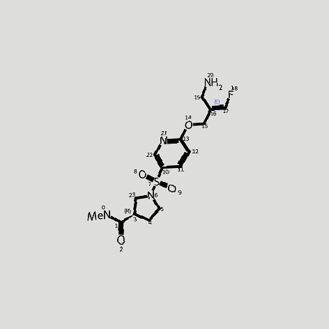 CNC(=O)[C@@H]1CCN(S(=O)(=O)c2ccc(OC/C(=C/F)CN)nc2)C1